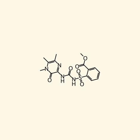 COC(=O)c1ccccc1S(=O)(=O)NC(=O)Nc1nc(C)c(C)n(C)c1=O